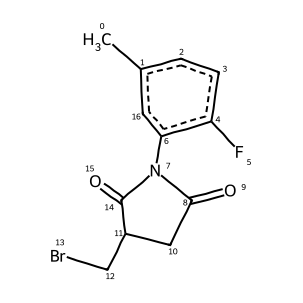 Cc1ccc(F)c(N2C(=O)CC(CBr)C2=O)c1